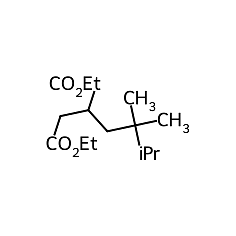 CCOC(=O)CC(CC(C)(C)C(C)C)C(=O)OCC